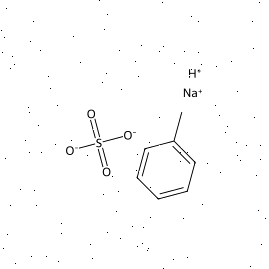 Cc1ccccc1.O=S(=O)([O-])[O-].[H+].[Na+]